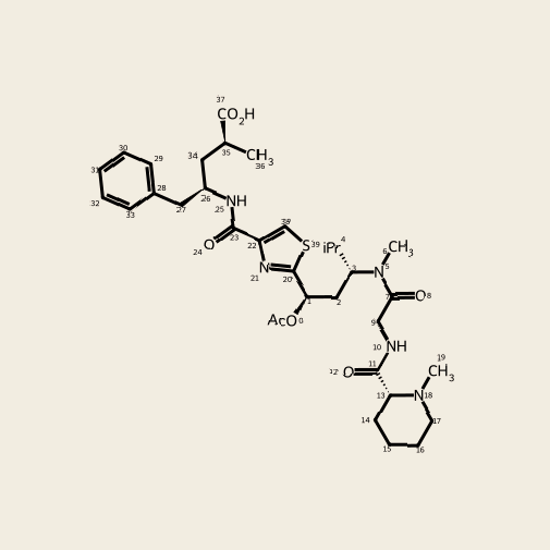 CC(=O)O[C@H](C[C@H](C(C)C)N(C)C(=O)CNC(=O)[C@H]1CCCCN1C)c1nc(C(=O)N[C@@H](Cc2ccccc2)C[C@H](C)C(=O)O)cs1